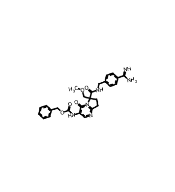 COCC1(C(=O)NCc2ccc(C(=N)N)cc2)CCc2ncc(NC(=O)OCc3ccccc3)c(=O)n21